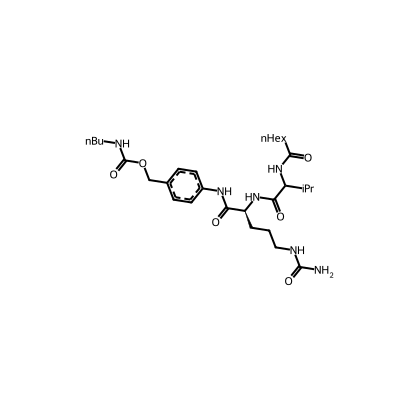 CCCCCCC(=O)NC(C(=O)N[C@@H](CCCNC(N)=O)C(=O)Nc1ccc(COC(=O)NCCCC)cc1)C(C)C